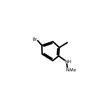 CNNc1ccc(Br)cc1C